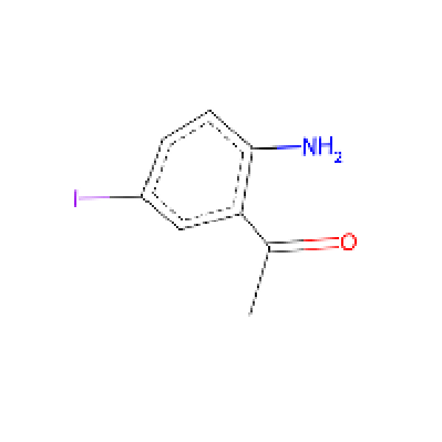 CC(=O)c1cc(I)ccc1N